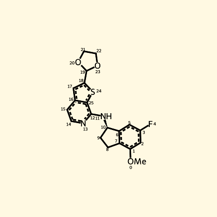 COc1cc(F)cc2c1CC[C@H]2Nc1nccc2cc(C3OCCO3)sc12